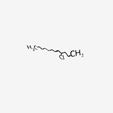 CCCCCCC=CC(Cl)CCC